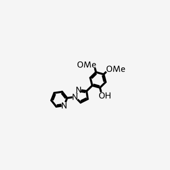 COc1cc(O)c(-c2ccn(-c3ccccn3)n2)cc1OC